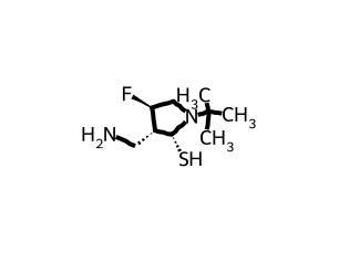 CC(C)(C)N1C[C@H](F)[C@@H](CN)[C@H]1S